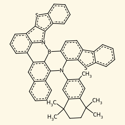 Cc1cc2c(cc1N1c3c4c(cc5ccccc35)-c3cccc5c6sc7ccccc7c6n(c35)B4c3ccc4c(sc5ccccc54)c31)C(C)(C)CCC2(C)C